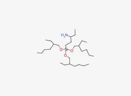 CCCCC(CC)CO[Si](CCC(N)CC)(OCC(CC)CCCC)OCC(CC)CCCC